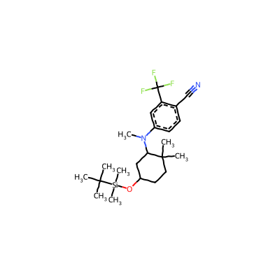 CN(c1ccc(C#N)c(C(F)(F)F)c1)C1CC(O[Si](C)(C)C(C)(C)C)CCC1(C)C